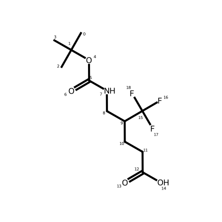 CC(C)(C)OC(=O)NCC(CCC(=O)O)C(F)(F)F